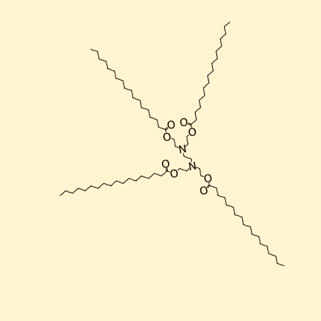 CCCCCCCCCCCCCCCCCC(=O)OCCN(CCOC(=O)CCCCCCCCCCCCCCCCC)CCN(CCOC(=O)CCCCCCCCCCCCCCCCC)CCOC(=O)CCCCCCCCCCCCCCCCC